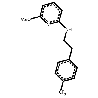 COc1cccc(NCCc2ccc(C(F)(F)F)cc2)n1